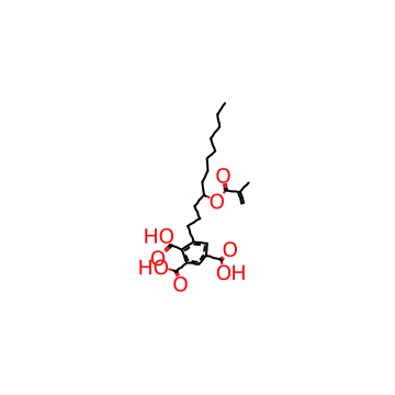 C=C(C)C(=O)OC(CCCCCCCC)CCCc1cc(C(=O)O)cc(C(=O)O)c1C(=O)O